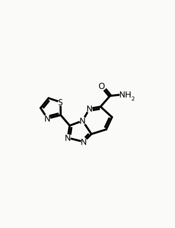 NC(=O)c1ccc2nnc(-c3nccs3)n2n1